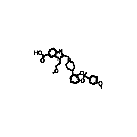 COCCn1c(CN2CCC(c3cccc4c3OC(C)(c3ccc(OC)cc3)O4)CC2)nc2ccc(C(=O)O)cc21